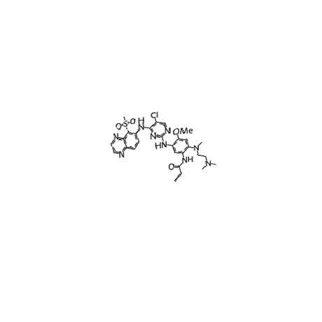 C=CC(=O)Nc1cc(Nc2ncc(Cl)c(Nc3ccc4nccnc4c3S(C)(=O)=O)n2)c(OC)cc1N(C)CCN(C)C